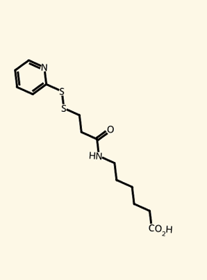 O=C(O)CCCCCNC(=O)CCSSc1ccccn1